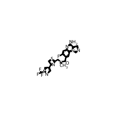 CN(Cc1nc(-c2cnn(C(F)(F)F)c2)cs1)C(=O)c1cc2c(cc1F)nc(N)c1cncn12